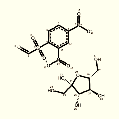 O=CS(=O)(=O)c1ccc([N+](=O)[O-])cc1[N+](=O)[O-].OC[C@H]1O[C@](O)(CO)[C@@H](O)[C@@H]1O